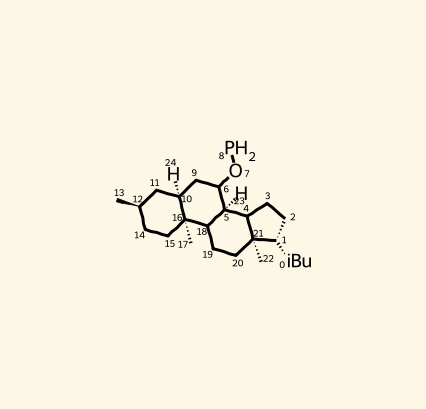 CC[C@@H](C)[C@H]1CCC2[C@@H]3C(OP)C[C@@H]4C[C@H](C)CC[C@]4(C)C3CC[C@@]21C